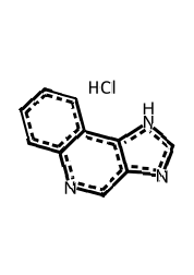 Cl.c1ccc2c(c1)ncc1nc[nH]c12